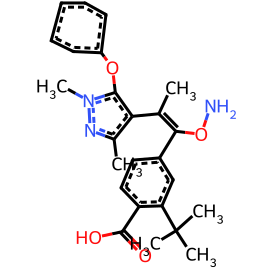 C/C(=C(\ON)c1ccc(C(=O)O)c(C(C)(C)C)c1)c1c(C)nn(C)c1Oc1ccccc1